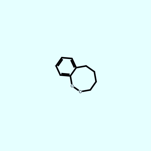 [c]1ccc2c(c1)OOCCCC2